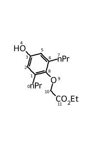 CCCc1cc(O)cc(CCC)c1OCC(=O)OCC